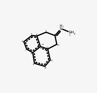 [SiH3][SiH]=C1Cc2cccc3cccc(c23)C1